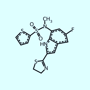 CN(c1cc(F)cc2cc(C3=NCCS3)[nH]c12)S(=O)(=O)c1cccs1